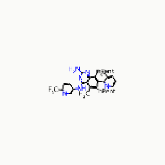 CCCCCc1c(-c2ncccc2C(F)(F)F)c(CCCCC)c2nc(N)nc(Nc3ccc(C(F)(F)F)nc3)c2c1C